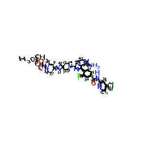 CC(C)(C)OC(=O)N1CCC(N2CC3(CCN(c4nc(-c5ccc(C(=O)Nc6cc(Cl)ccn6)cc5F)c5c(N)nccn45)CC3)C2)CC1